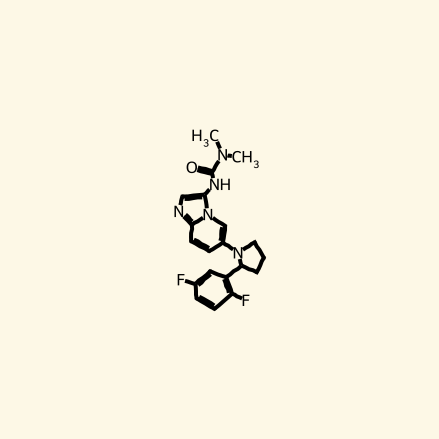 CN(C)C(=O)Nc1cnc2ccc(N3CCCC3c3cc(F)ccc3F)cn12